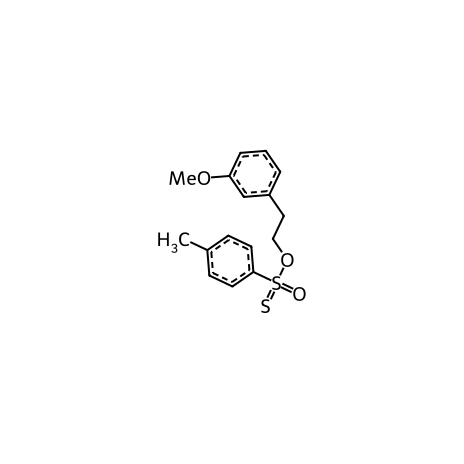 COc1cccc(CCOS(=O)(=S)c2ccc(C)cc2)c1